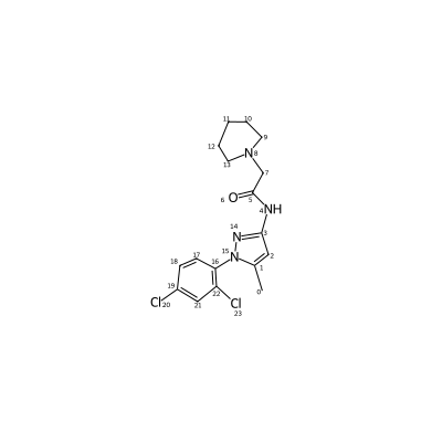 Cc1cc(NC(=O)CN2CCCCC2)nn1-c1ccc(Cl)cc1Cl